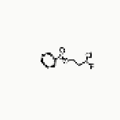 O=S(OCCC(F)Cl)c1ccccc1